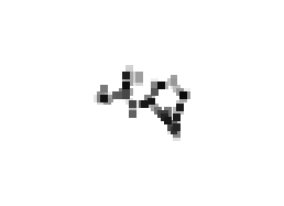 ON(O)OC1CCCC2OC21